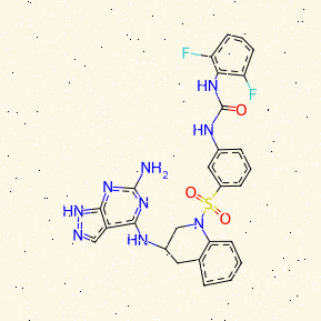 Nc1nc(NC2Cc3ccccc3N(S(=O)(=O)c3cccc(NC(=O)Nc4c(F)cccc4F)c3)C2)c2cn[nH]c2n1